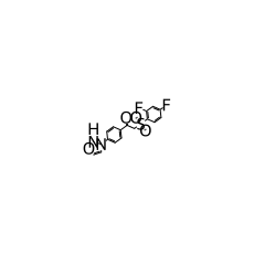 O=C(CS(=O)(=O)c1ccc(F)cc1F)c1ccc(N2C=CON2)cc1